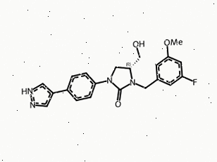 COc1cc(F)cc(CN2C(=O)N(c3ccc(-c4cn[nH]c4)cc3)C[C@@H]2CO)c1